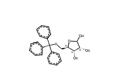 OC1O[C@H](COC(c2ccccc2)(c2ccccc2)c2ccccc2)[C@@H](O)[C@H]1O